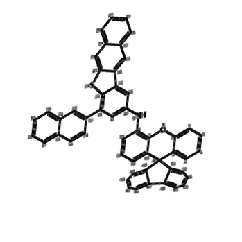 c1ccc2c(c1)Oc1c(Nc3cc(-c4ccc5ccccc5c4)c4sc5cc6ccccc6cc5c4c3)cccc1C21c2ccccc2-c2ccccc21